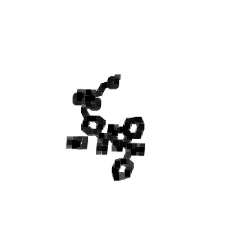 COCCNS(=O)(=O)Cc1ccc(Nc2nc(Nc3ccccc3)c3ccccc3n2)cc1.Cl